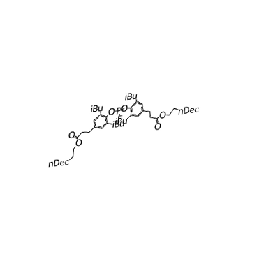 CCCCCCCCCCCCOC(=O)CCc1cc(C(C)CC)c(OP(F)Oc2c(C(C)CC)cc(CCC(=O)OCCCCCCCCCCCC)cc2C(C)CC)c(C(C)CC)c1